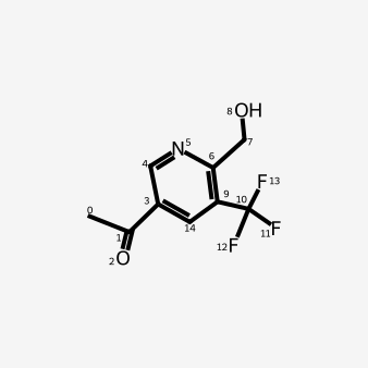 CC(=O)c1cnc(CO)c(C(F)(F)F)c1